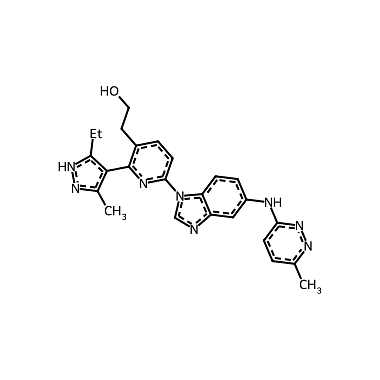 CCc1[nH]nc(C)c1-c1nc(-n2cnc3cc(Nc4ccc(C)nn4)ccc32)ccc1CCO